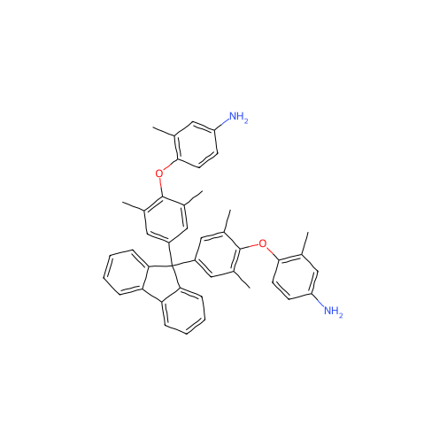 Cc1cc(N)ccc1Oc1c(C)cc(C2(c3cc(C)c(Oc4ccc(N)cc4C)c(C)c3)c3ccccc3-c3ccccc32)cc1C